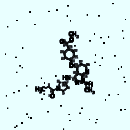 CCC(=O)N1CC[C@@H](Nc2nn(PC)c3nccc(Oc4ccc(C(=O)OC)cc4)c23)C1